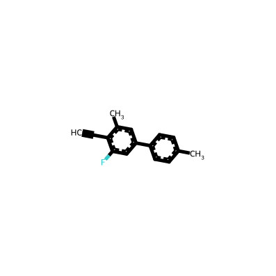 C#Cc1c(C)cc(-c2ccc(C)cc2)cc1F